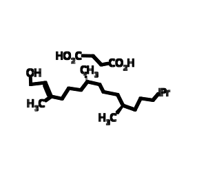 CC(=CCO)CCC[C@H](C)CCC[C@H](C)CCCC(C)C.O=C(O)CCC(=O)O